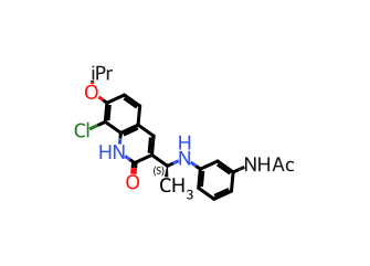 CC(=O)Nc1cccc(N[C@@H](C)c2cc3ccc(OC(C)C)c(Cl)c3[nH]c2=O)c1